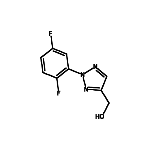 OCc1cnn(-c2cc(F)ccc2F)n1